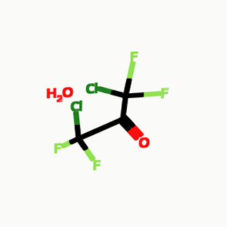 O.O=C(C(F)(F)Cl)C(F)(F)Cl